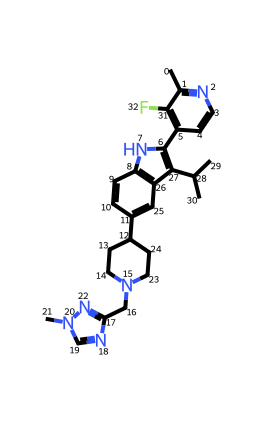 Cc1nccc(-c2[nH]c3ccc(C4CCN(Cc5ncn(C)n5)CC4)cc3c2C(C)C)c1F